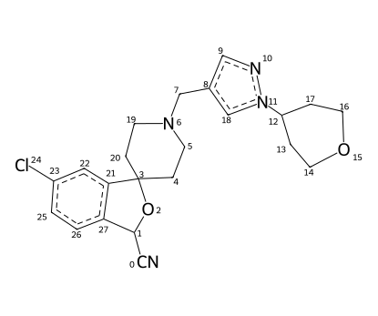 N#CC1OC2(CCN(Cc3cnn(C4CCOCC4)c3)CC2)c2cc(Cl)ccc21